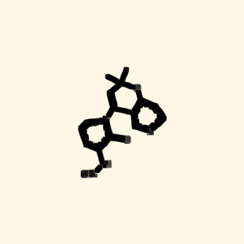 CC1(C)C=C(n2cccc(NC=O)c2=O)c2cnccc2O1